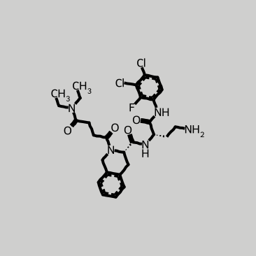 CCN(CC)C(=O)CCC(=O)N1Cc2ccccc2C[C@H]1C(=O)N[C@@H](CCN)C(=O)Nc1ccc(Cl)c(Cl)c1F